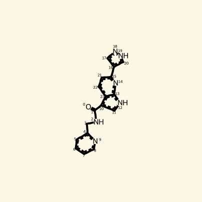 O=C(NCc1ccccn1)c1c[nH]c2nc(-c3cn[nH]c3)ccc12